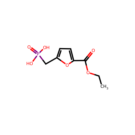 CCOC(=O)c1ccc(CP(=O)(O)O)o1